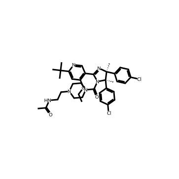 CCOc1cc(C(C)(C)C)ncc1C1=N[C@@](C)(c2ccc(Cl)cc2)[C@@](C)(c2ccc(Cl)cc2)N1C(=O)N1CCN(CCNC(C)=O)CC1